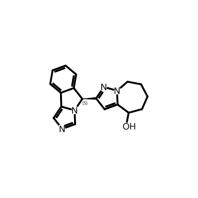 OC1CCCCn2nc([C@@H]3c4ccccc4-c4cncn43)cc21